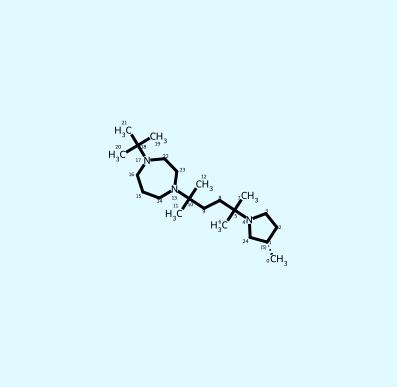 C[C@H]1CCN(C(C)(C)CCC(C)(C)N2CCCN(C(C)(C)C)CC2)C1